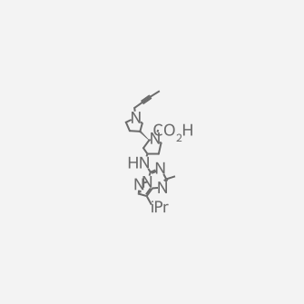 CC#CCN1CCC([C@@H]2CC(Nc3nc(C)nc4c(C(C)C)cnn34)CCN2C(=O)O)C1